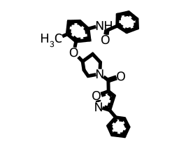 Cc1ccc(NC(=O)c2ccccc2)cc1OC1CCN(C(=O)c2cc(-c3ccccc3)no2)CC1